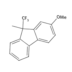 COc1ccc2c(c1)C(C)(C(F)(F)F)c1ccccc1-2